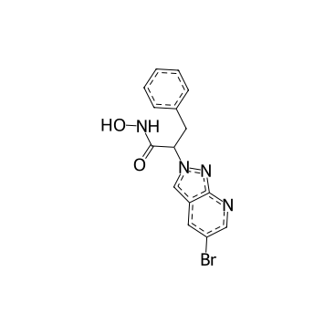 O=C(NO)C(Cc1ccccc1)n1cc2cc(Br)cnc2n1